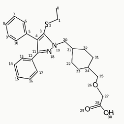 CCSc1c(-c2ccccc2)c(-c2ccccc2)nn1CC1CCC(COCC(=O)O)CC1